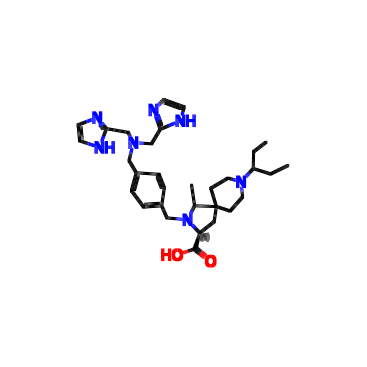 CCC(CC)N1CCC2(CC1)C[C@@H](C(=O)O)N(Cc1ccc(CN(Cc3ncc[nH]3)Cc3ncc[nH]3)cc1)C2C